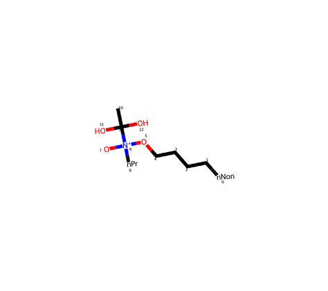 CCCCCCCCCCCCCO[N+]([O-])(CCC)C(C)(O)O